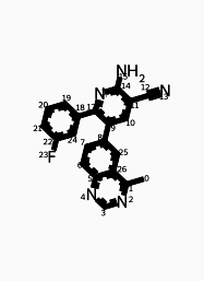 Cc1ncnc2ccc(-c3cc(C#N)c(N)nc3-c3cccc(F)c3)cc12